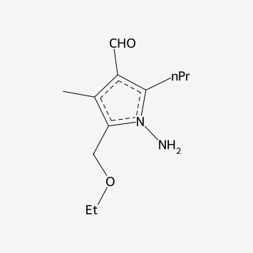 CCCc1c(C=O)c(C)c(COCC)n1N